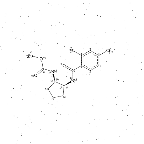 CCc1cc(C(F)(F)F)ccc1C(=O)N[C@H]1CCC[C@H]1NC(=O)OC(C)(C)C